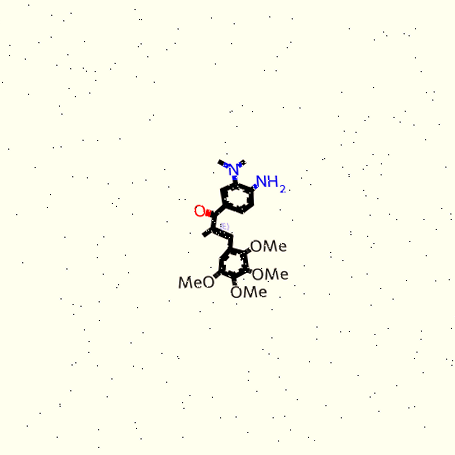 COc1cc(/C=C(\C)C(=O)c2ccc(N)c(N(C)C)c2)c(OC)c(OC)c1OC